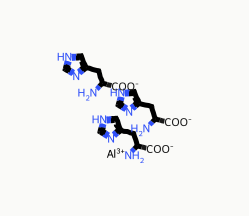 NC(Cc1c[nH]cn1)C(=O)[O-].NC(Cc1c[nH]cn1)C(=O)[O-].NC(Cc1c[nH]cn1)C(=O)[O-].[Al+3]